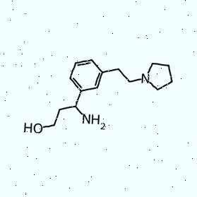 NC(CCO)c1cccc(CCN2CCCC2)c1